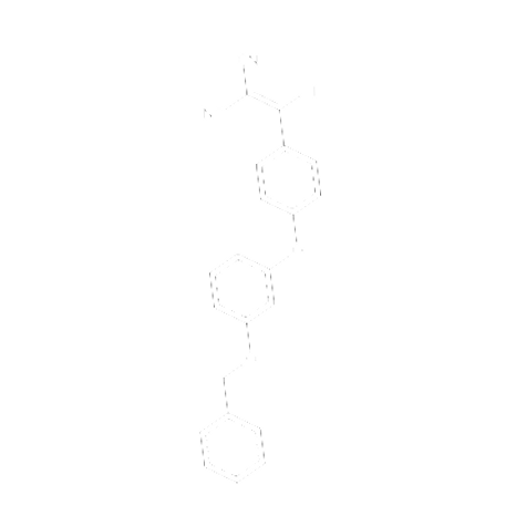 CC(=C(C#N)C#N)c1ccc(Oc2cccc(OCc3ccccc3)c2)cc1